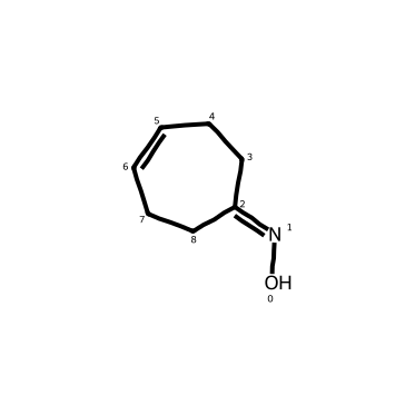 ON=C1CCC=CCC1